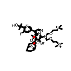 CC(C)(C)OC(=O)N1C2CCC1CC(c1nc3c(-c4cnc(C(C)(C)O)c(F)c4)cnn3c(N(COCC[Si](C)(C)C)COCC[Si](C)(C)C)c1Br)C2